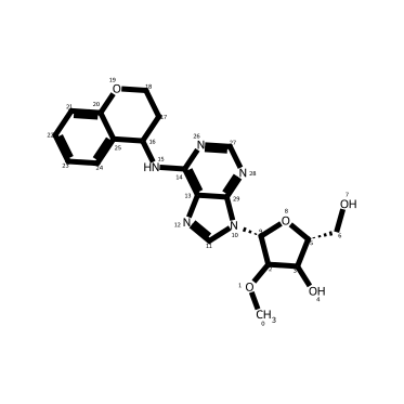 COC1C(O)[C@@H](CO)O[C@H]1n1cnc2c(NC3CCOc4ccccc43)ncnc21